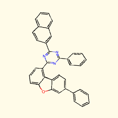 c1ccc(-c2ccc3c(c2)oc2cccc(-c4nc(-c5ccccc5)nc(-c5ccc6ccccc6c5)n4)c23)cc1